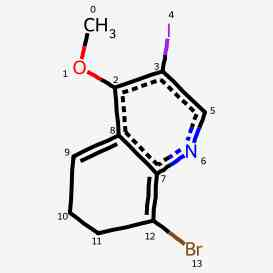 COc1c(I)cnc2c1=CCCC=2Br